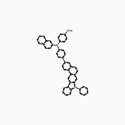 COc1ccc(N(c2ccc(-c3ccc4c(ccc5cc6c(cc54)c4ccccc4n6-c4ccccc4)c3)cc2)c2ccc3ccccc3c2)cc1